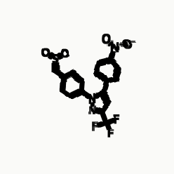 O=[N+]([O-])c1ccc(-c2cc(C(F)(F)F)nn2-c2ccc(C[SH](=O)=O)cc2)cc1